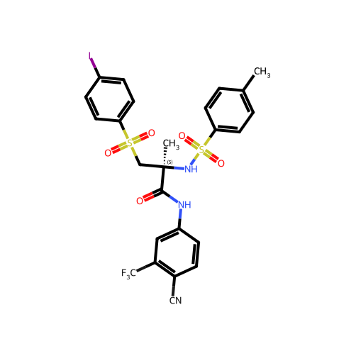 Cc1ccc(S(=O)(=O)N[C@](C)(CS(=O)(=O)c2ccc(I)cc2)C(=O)Nc2ccc(C#N)c(C(F)(F)F)c2)cc1